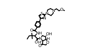 CCC(C)(C)C(NC(=O)c1ccc(-c2csc(N3CCN(CCOC)CC3)n2)cc1)C(=O)N1C[C@@H](O)[C@H]2OCC(=O)[C@H]21